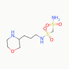 NS(=O)(=O)CS(=O)(=O)NCCCC1COCCN1